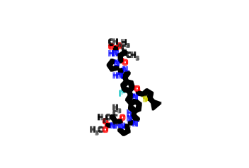 COC(=O)N[C@H](C(=O)N1CCC[C@H]1c1ncc(-c2cc(F)c3c(c2)OC(c2ccc(C4CC4)s2)n2c-3cc3cc(-c4cnc([C@@H]5CCCN5C(=O)[C@@H](NC(=O)OC)C(C)C)[nH]4)ccc32)[nH]1)C(C)C